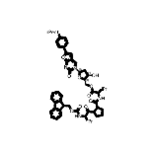 CCCCCc1ccc(-c2cc3cn([C@H]4C[C@@H](O)[C@@H](COC(=O)C(NC(=O)C5CCCC5C(=O)C(NC(=O)OCC5c6ccccc6-c6ccccc65)C(C)C)C(C)C)O4)c(=O)nc3o2)cc1